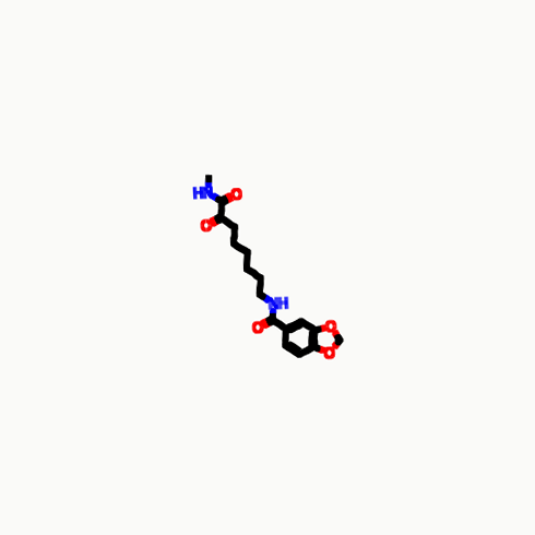 CNC(=O)C(=O)CCCCCCNC(=O)c1ccc2c(c1)OCO2